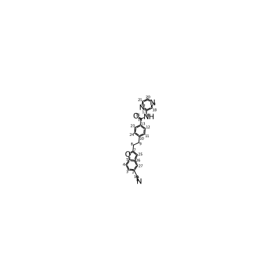 N#Cc1ccc2oc(CCc3ccc(C(=O)Nc4cnccn4)cc3)cc2c1